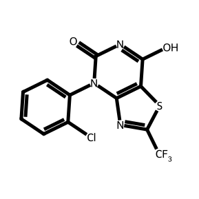 O=c1nc(O)c2sc(C(F)(F)F)nc2n1-c1ccccc1Cl